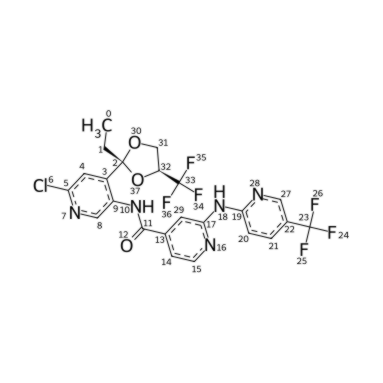 CC[C@@]1(c2cc(Cl)ncc2NC(=O)c2ccnc(Nc3ccc(C(F)(F)F)cn3)c2)OC[C@@H](C(F)(F)F)O1